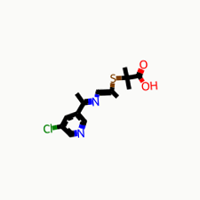 C/C(=C\N=C(/C)c1cncc(Cl)c1)SC(C)(C)C(=O)O